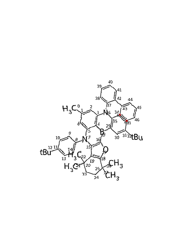 Cc1cc2c3c(c1)N(c1ccc(C(C)(C)C)cc1)c1c(oc4c1C(C)(C)CCC4(C)C)B3c1cc(C(C)(C)C)ccc1N2c1ccccc1-c1ccccc1